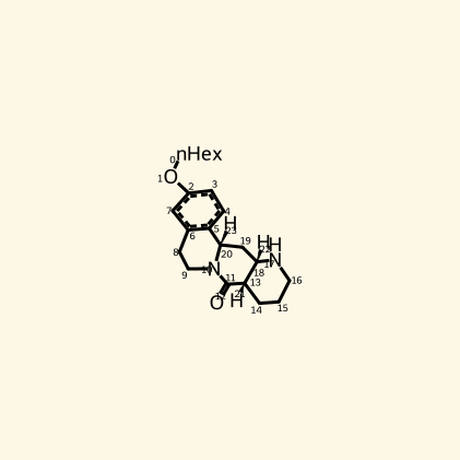 CCCCCCOc1ccc2c(c1)CCN1C(=O)[C@H]3CCCN[C@H]3C[C@@H]21